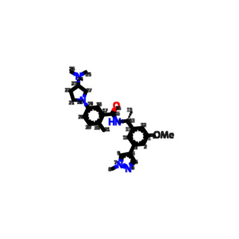 COc1cc(-c2cnn(C)c2)cc([C@@H](C)NC(=O)c2cc(N3CCC(N(C)C)C3)ccc2C)c1